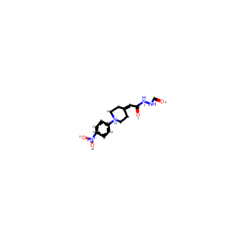 O=CNNC(=O)C=C1CCN(c2ccc([N+](=O)[O-])cc2)CC1